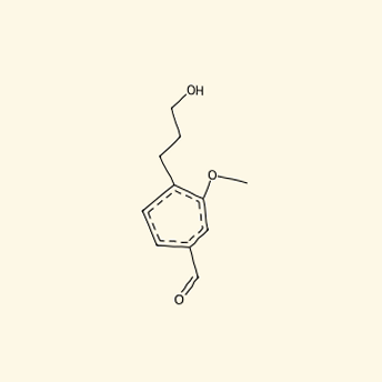 COc1cc(C=O)ccc1CCCO